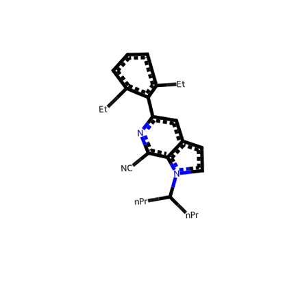 CCCC(CCC)n1ccc2cc(-c3c(CC)cccc3CC)nc(C#N)c21